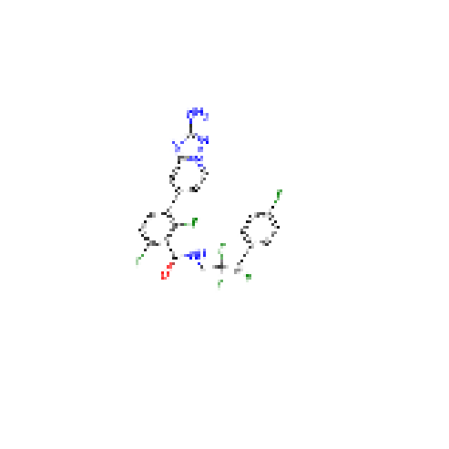 Nc1nc2cc(-c3ccc(F)c(C(=O)NCC(F)(F)[C@@H](F)c4ccc(F)cc4)c3F)ccn2n1